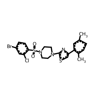 Cc1ccc(C)c(-c2csc(N3CCN(S(=O)(=O)c4ccc(Br)cc4Cl)CC3)n2)c1